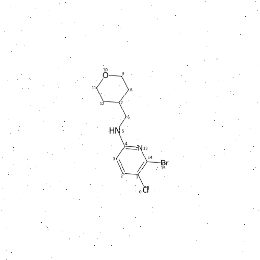 Clc1ccc(NCC2CCOCC2)nc1Br